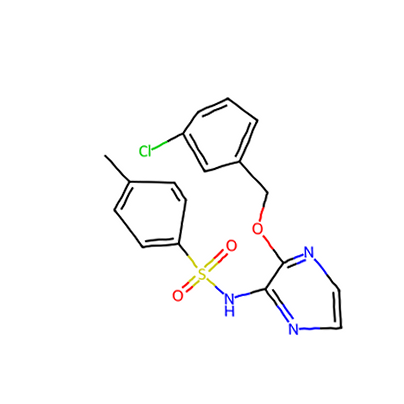 Cc1ccc(S(=O)(=O)Nc2nccnc2OCc2cccc(Cl)c2)cc1